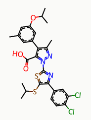 Cc1cc(OC(C)C)cc(-c2c(C)nn(-c3nc(-c4ccc(Cl)c(Cl)c4)c(SC(C)C)s3)c2C(=O)O)c1